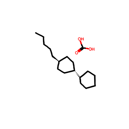 CCCCC[C@H]1CC[C@H](C2CCCCC2)CC1.O=C(O)O